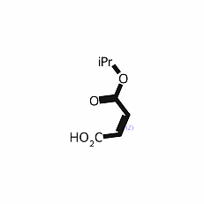 CC(C)OC(=O)/C=C\C(=O)O